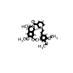 COc1ccc(CCN2CCCC(C(=O)N3CCc4cc(OC)c(OC)cc4C3)C2)cc1OC.Cl